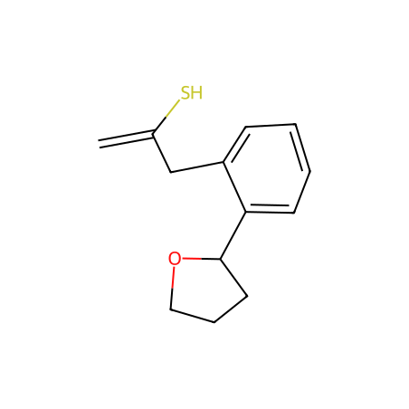 C=C(S)Cc1ccccc1C1CCCO1